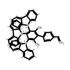 C=Cc1ccc(-c2c(C#N)c(-n3c4ccccc4c4ccccc43)c(-n3c4ccccc4c4ccccc43)c(-n3c4ccccc4c4ccccc43)c2C#N)cc1